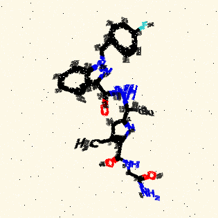 CC1=C(C(=O)NCC(N)=O)N=C(C(NC(=O)c2nn(Cc3ccc(F)cc3)c3ccccc23)C(C)(C)C)C1